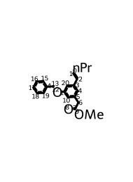 CCC/C=C/c1cc(CC(=O)OC)cc(OCc2ccccc2)c1